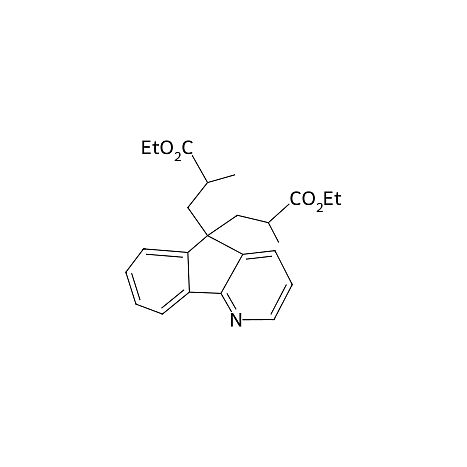 CCOC(=O)C(C)CC1(CC(C)C(=O)OCC)c2ccccc2-c2ncccc21